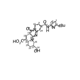 CC(C)(C)c1csc(NC(=O)c2ccn3c(=O)c(/C=C/C(=O)O)c(N4CCCC(CO)C4)nc3c2)n1